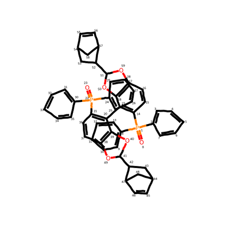 O=P(c1ccccc1)(c1ccccc1)c1ccc2c(c1-c1c(P(=O)(c3ccccc3)c3ccccc3)ccc3c1OC(C1CC4C=CC1C4)O3)OC(C1CC3C=CC1C3)O2